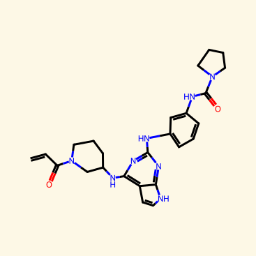 C=CC(=O)N1CCCC(Nc2nc(Nc3cccc(NC(=O)N4CCCC4)c3)nc3[nH]ccc23)C1